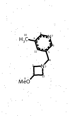 COC1CN(Cc2cncc(C)c2)C1